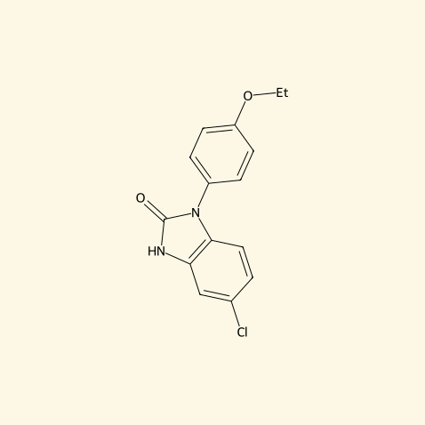 CCOc1ccc(-n2c(=O)[nH]c3cc(Cl)ccc32)cc1